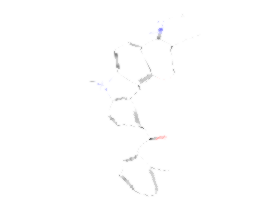 CCn1c2ccc(C(=O)c3ccccc3C)cc2c2c3c(ccc21)/C(=N/OC(C)=O)C(C)CO3